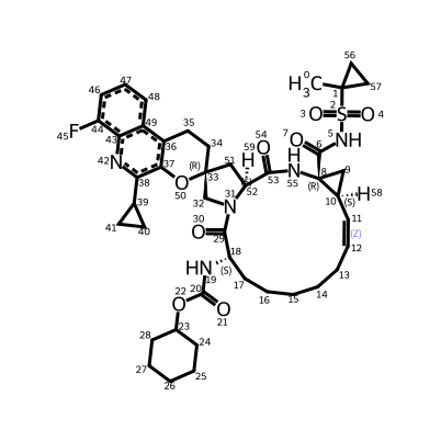 CC1(S(=O)(=O)NC(=O)[C@@]23C[C@H]2/C=C\CCCCC[C@H](NC(=O)OC2CCCCC2)C(=O)N2C[C@@]4(CCc5c(c(C6CC6)nc6c(F)cccc56)O4)C[C@H]2C(=O)N3)CC1